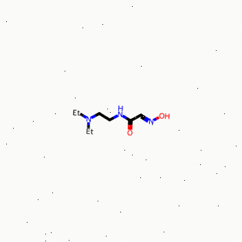 CCN(CC)CCNC(=O)/C=N/O